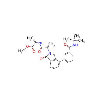 C=C(NC(=O)C(=C)N1Cc2c(cccc2-c2cccc(C(=O)NC(C)(C)C)c2)C1=O)C(=O)OC